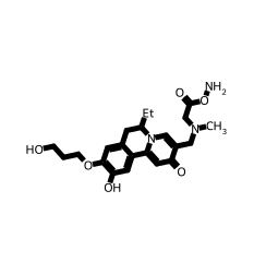 CCC1Cc2cc(OCCCO)c(O)cc2-c2cc(=O)c(CN(C)CC(=O)ON)cn21